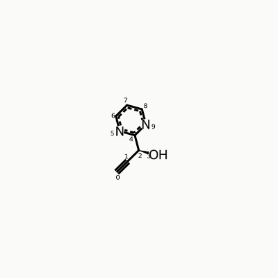 C#C[C@H](O)c1ncccn1